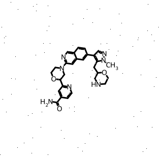 Cn1ncc(-c2ccc3cnc(N4CCOC(c5cc(C(N)=O)ccn5)C4)cc3c2)c1CC1CNCCO1